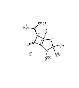 CCOC(=O)C(N)[C@@H]1C(=O)N2[C@@H]1SC(C)(C)[C@@H]2C(=O)[O-].[K+]